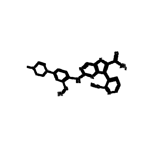 COc1ncccc1-c1c(C(N)=O)sc2cnc(Nc3ccc(N4CCN(C)CC4)cc3OC(C)C)nc12